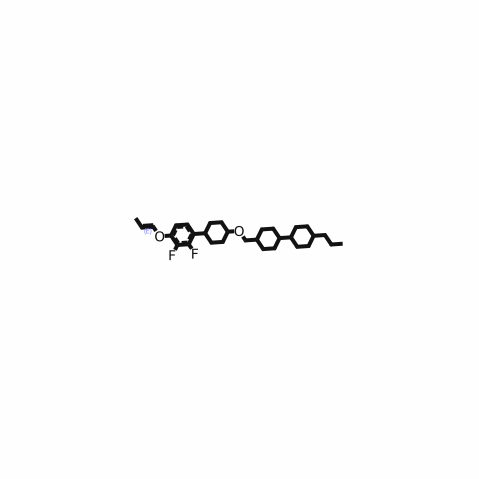 C/C=C/Oc1ccc(C2CCC(OCC3CCC(C4CCC(CCC)CC4)CC3)CC2)c(F)c1F